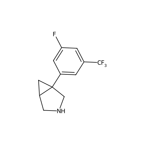 Fc1cc(C(F)(F)F)cc(C23CNCC2C3)c1